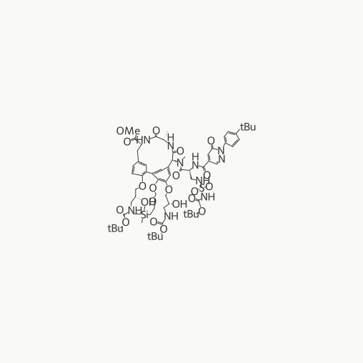 COC(=O)[C@@H]1Cc2ccc(OC[C@H](O)CNC(=O)OC(C)(C)C)c(c2)-c2cc(cc(OC[C@H](O)CNC(=O)OC(C)(C)C)c2OCOCC[Si](C)(C)C)[C@H](N(C)C(=O)[C@H](CNS(=O)(=O)NC(=O)OC(C)(C)C)NC(=O)c2cnn(-c3ccc(C(C)(C)C)cc3)c(=O)c2)C(=O)N[C@@H](C)C(=O)N1